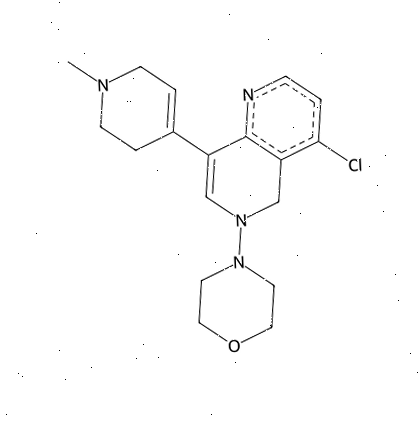 CN1CC=C(C2=CN(N3CCOCC3)Cc3c(Cl)ccnc32)CC1